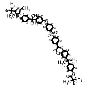 CCC[C@@](C)(Oc1ccc(C(C)(C)c2ccc(Oc3ccc(S(=O)(=O)c4ccc(C(CC)Oc5ccc(C(C)(C)c6ccc(OC(=O)C(C)(C)Br)cc6)cc5)cc4)cc3)cc2)cc1)C(=O)C(C)(C)Br